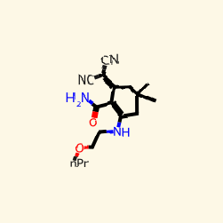 CCCOCCNC1=C(C(N)=O)C(=C(C#N)C#N)CC(C)(C)C1